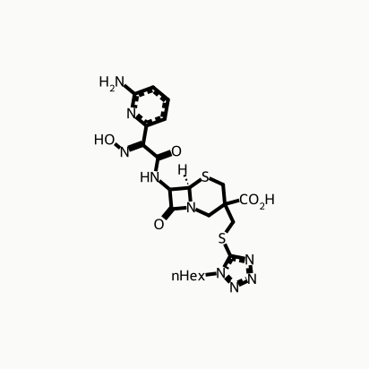 CCCCCCn1nnnc1SCC1(C(=O)O)CS[C@@H]2C(NC(=O)C(=NO)c3cccc(N)n3)C(=O)N2C1